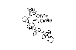 COc1cc(NC(=O)OCCS(=O)(=O)c2ccccc2)c(C(=O)N2CCCC2CO[Si](C)(C)C(C)(C)C)cc1OC